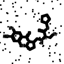 CC(C)C[C@@H](NCC1CCCN1C(=O)c1cc(C(C)C)c(O)cc1O)C(=O)OC1CCCC1